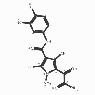 Cc1c(C(=O)Nc2ccc(F)c(C#N)c2)c(F)n(C)c1C(=O)C(N)=O